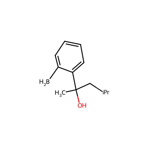 Bc1ccccc1C(C)(O)CC(C)C